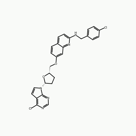 Clc1ccc(CNc2ccc3ccc(OC[C@@H]4CC[C@H](n5ccc6c(Cl)ncnc65)O4)cc3n2)cc1